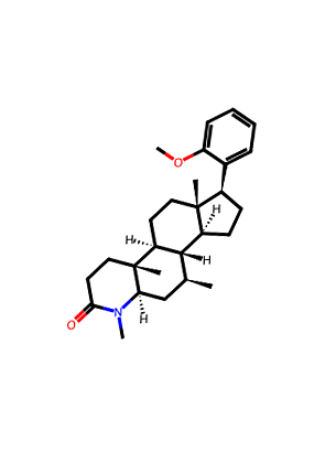 COc1ccccc1[C@H]1CC[C@H]2[C@@H]3[C@@H](C)C[C@H]4N(C)C(=O)CC[C@]4(C)[C@H]3CC[C@]12C